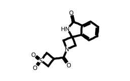 O=C1NC2(CN(C(=O)C3CS(=O)(=O)C3)C2)c2ccccc21